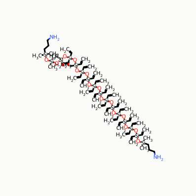 C=C[Si](C=C)(O[Si](C)(C)CCCN)O[Si](C=C)(C=C)O[Si](C=C)(C=C)O[Si](C=C)(C=C)O[Si](C=C)(C=C)O[Si](C=C)(C=C)O[Si](C=C)(C=C)O[Si](C=C)(C=C)O[Si](C=C)(C=C)O[Si](C=C)(C=C)O[Si](C=C)(C=C)O[Si](C=C)(C=C)O[Si](C)(C)O[Si](C)(C)O[Si](C)(C)CCCN